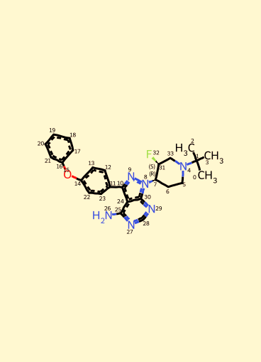 CC(C)(C)N1CC[C@@H](n2nc(-c3ccc(Oc4ccccc4)cc3)c3c(N)ncnc32)[C@@H](F)C1